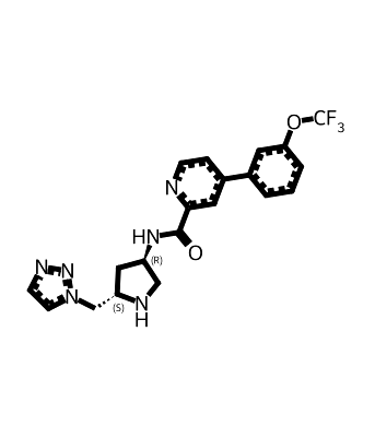 O=C(N[C@H]1CN[C@H](Cn2ccnn2)C1)c1cc(-c2cccc(OC(F)(F)F)c2)ccn1